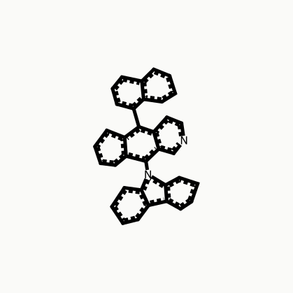 c1ccc2c(-c3c4ccccc4c(-n4c5ccccc5c5ccccc54)c4cnccc34)cccc2c1